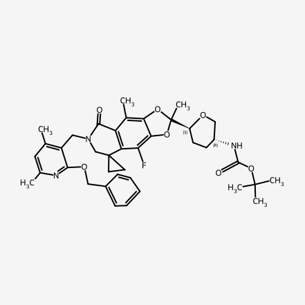 Cc1cc(C)c(CN2CC3(CC3)c3c(F)c4c(c(C)c3C2=O)OC(C)([C@@H]2CC[C@@H](NC(=O)OC(C)(C)C)CO2)O4)c(OCc2ccccc2)n1